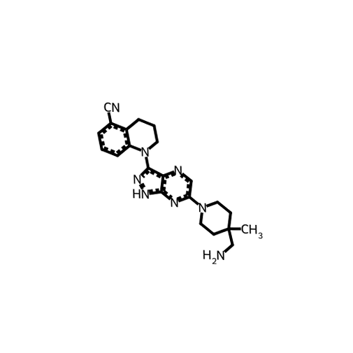 CC1(CN)CCN(c2cnc3c(N4CCCc5c(C#N)cccc54)n[nH]c3n2)CC1